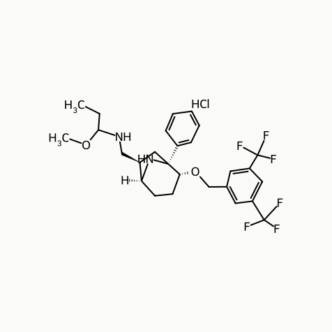 CCC(NC[C@H]1C[C@]2(c3ccccc3)N[C@H]1CC[C@H]2OCc1cc(C(F)(F)F)cc(C(F)(F)F)c1)OC.Cl